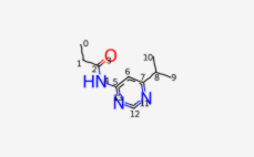 CCC(=O)Nc1cc(C(C)C)ncn1